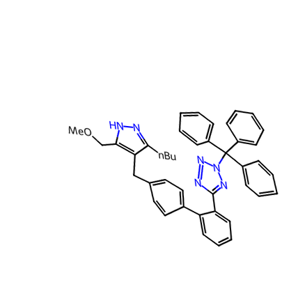 CCCCc1n[nH]c(COC)c1Cc1ccc(-c2ccccc2-c2nnn(C(c3ccccc3)(c3ccccc3)c3ccccc3)n2)cc1